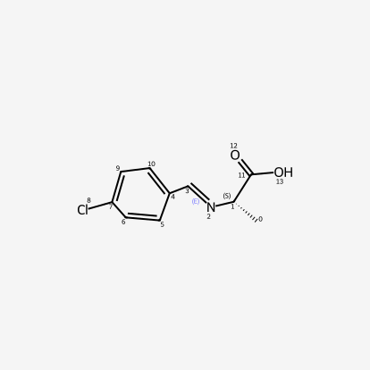 C[C@H](/N=C/c1ccc(Cl)cc1)C(=O)O